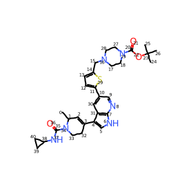 CC1C=C(c2c[nH]c3ncc(-c4ccc(CN5CCN(C(=O)OC(C)(C)C)CC5)s4)cc23)CCN1C(=O)NC1CC1